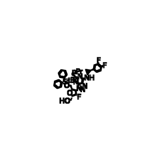 CCCSc1nc(N[C@@H]2C[C@H]2c2ccc(F)c(F)c2)c2nnn([C@@H]3[C@H](F)[C@H](CO)O[C@H]3CO[Si](c3ccccc3)(c3ccccc3)C(C)(C)C)c2n1